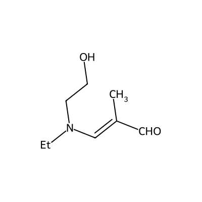 CCN(C=C(C)C=O)CCO